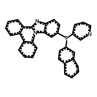 c1cncc(P(c2ccc3ccccc3c2)c2ccc3nc4c5ccccc5c5ccccc5n4c3c2)c1